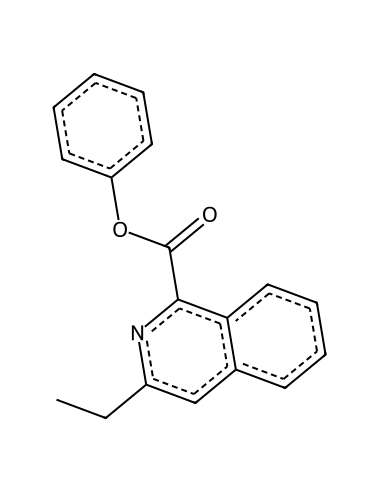 CCc1cc2ccccc2c(C(=O)Oc2ccccc2)n1